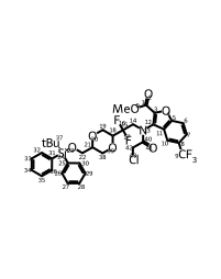 COC(=O)c1oc2ccc(C(F)(F)F)cc2c1N(CC(F)(F)C1COC(CO[Si](c2ccccc2)(c2ccccc2)C(C)(C)C)CO1)C(=O)CCl